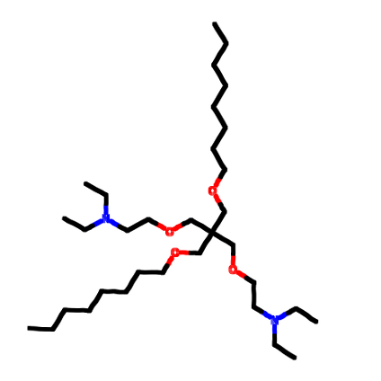 CCCCCCCCOCC(COCCCCCCCC)(COCCN(CC)CC)COCCN(CC)CC